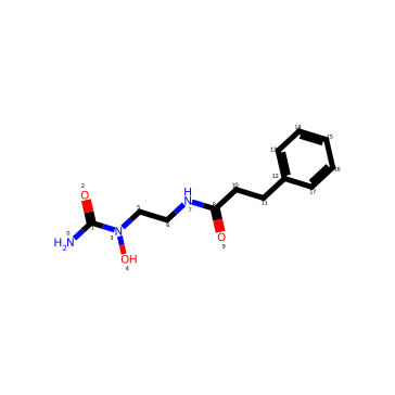 NC(=O)N(O)CCNC(=O)CCc1ccccc1